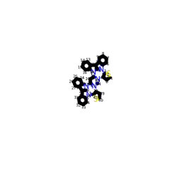 c1csc(-n2c3ccccc3c3c4ccccc4n(-c4cc(-n5c6ccccc6c6c7ccccc7n(-c7cccs7)c65)ncn4)c32)c1